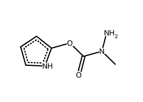 CN(N)C(=O)Oc1ccc[nH]1